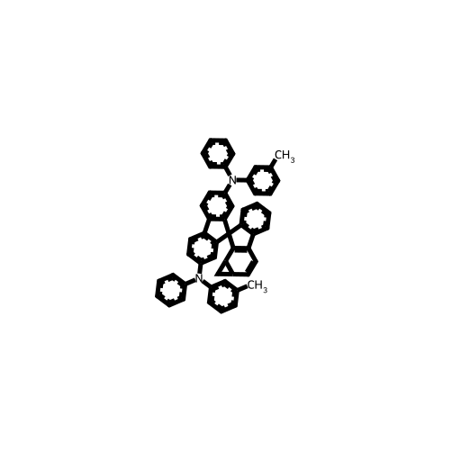 Cc1cccc(N(c2ccccc2)c2ccc3c(c2)C2(C4=C(C=CC5CC45)c4ccccc42)c2cc(N(c4ccccc4)c4cccc(C)c4)ccc2-3)c1